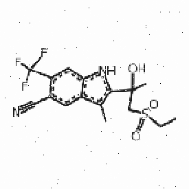 CCS(=O)(=O)CC(C)(O)c1[nH]c2cc(C(F)(F)F)c(C#N)cc2c1C